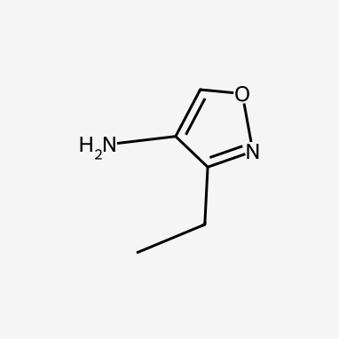 CCc1nocc1N